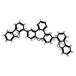 c1ccc2c(c1)-c1cc(-c3cccc4c3oc3ccccc34)ccc1Oc1ccc(-c3cccc4c3oc3ccccc34)cc1-2